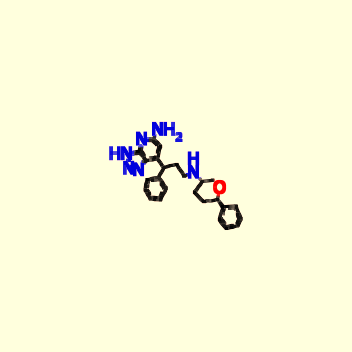 Nc1cc(C(CCN[C@H]2CC[C@H](c3ccccc3)OC2)c2ccccc2)c2nn[nH]c2n1